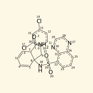 NC(=O)C1C=CC=CC1(Cc1ccc(Cl)cc1Cl)NS(=O)(=O)c1cccc2nccnc12